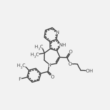 Cc1cc(C(=O)N2C=C(C(=O)OCCO)c3[nH]c4ncccc4c3C(C)(C)C2)ccc1F